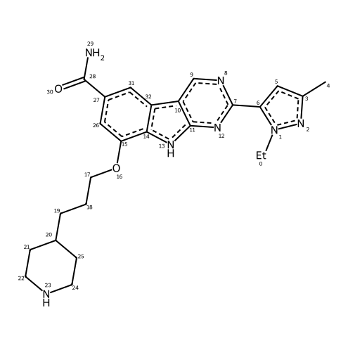 CCn1nc(C)cc1-c1ncc2c(n1)[nH]c1c(OCCCC3CCNCC3)cc(C(N)=O)cc12